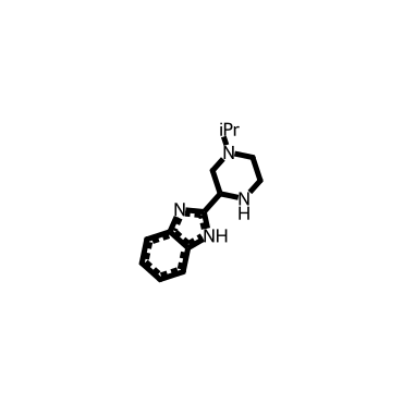 CC(C)N1CCNC(c2nc3ccccc3[nH]2)C1